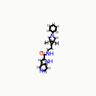 O=C(NCCC1[C@H]2CN(c3ccccc3)C[C@@H]12)c1cc2cnccc2[nH]1